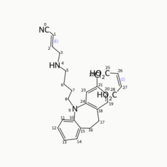 N#C/C=C/CNCCCCN1c2ccccc2CCc2ccc(Cl)cc21.O=C(O)/C=C\C(=O)O